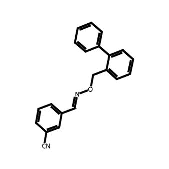 N#Cc1cccc(/[C]=N/OCc2ccccc2-c2ccccc2)c1